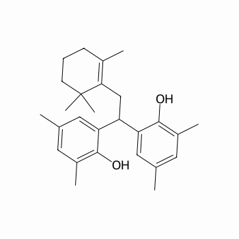 CC1=C(CC(c2cc(C)cc(C)c2O)c2cc(C)cc(C)c2O)C(C)(C)CCC1